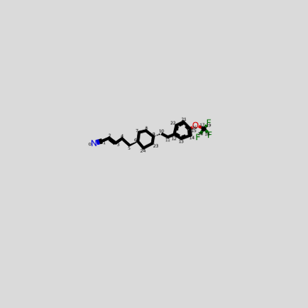 N#CC=CCC[C@H]1CC[C@H](CCc2ccc(OC(F)(F)F)cc2)CC1